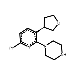 CC(C)c1ccc([C@H]2CCOC2)c(N2CCNCC2)n1